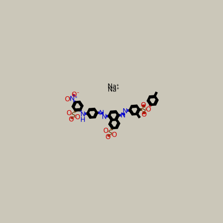 Cc1ccc(OS(=O)(=O)c2ccc(N=Nc3ccc(N=Nc4ccc(Nc5ccc([N+](=O)[O-])cc5S(=O)(=O)[O-])cc4)c4cc(S(=O)(=O)[O-])ccc34)cc2C)cc1.[Na+].[Na+]